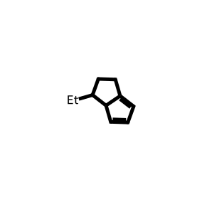 CCC1CCC2=CC=CC21